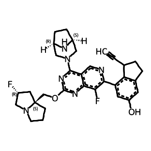 C#CC1CCc2cc(O)cc(-c3ncc4c(N5C[C@H]6CC[C@@H](C5)N6)nc(OC[C@@]56CCCN5C[C@H](F)C6)nc4c3F)c21